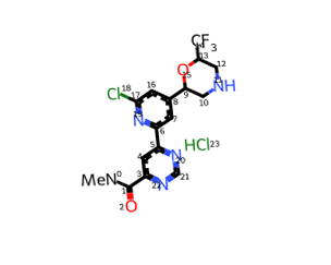 CNC(=O)c1cc(-c2cc(C3CNCC(C(F)(F)F)O3)cc(Cl)n2)ncn1.Cl